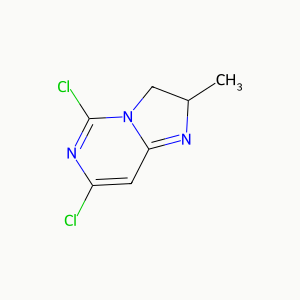 CC1CN2C(Cl)=NC(Cl)=CC2=N1